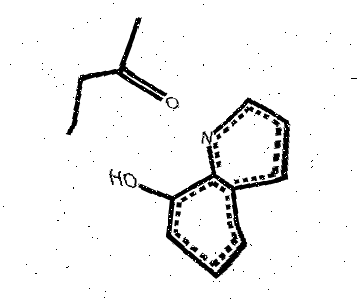 CCC(C)=O.Oc1cccc2cccnc12